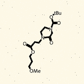 COCCCOC(=O)CCN1CCN(C(=O)OC(C)(C)C)CC1=O